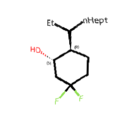 CCCCCCCC(CC)[C@H]1CCC(F)(F)C[C@@H]1O